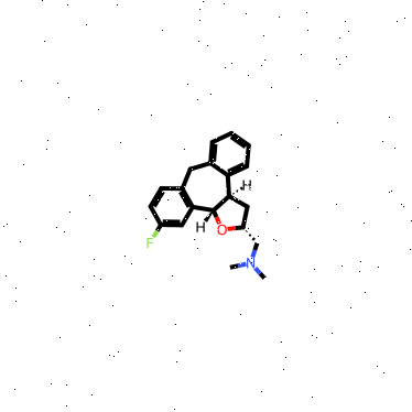 CN(C)C[C@H]1C[C@@H]2c3ccccc3Cc3ccc(F)cc3[C@H]2O1